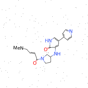 CNC/C=C/C(=O)N1CCC(Nc2cc(-c3ccncc3)c[nH]c2=O)C1